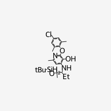 CCC(Nc1cc(C)nc(Oc2c(C)cc(Cl)cc2C)c1O)C(C)(C)O[SiH2]C(C)(C)C